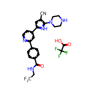 N#Cc1cc(-c2ccnc(-c3ccc(C(=O)NCC(F)(F)F)cc3)c2)[nH]c1N1CCNCC1.O=C(O)C(F)(F)F